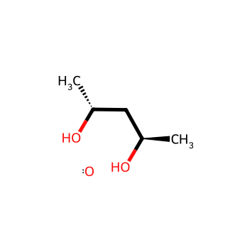 C[C@@H](O)C[C@@H](C)O.[O]